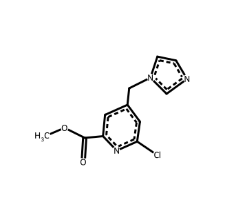 COC(=O)c1cc(Cn2ccnc2)cc(Cl)n1